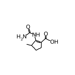 CC1CCC(C(=O)O)=C1NC(N)=O